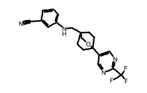 N#Cc1cccc(NCC23CCC(c4cnc(C(F)(F)F)nc4)(CC2)OC3)c1